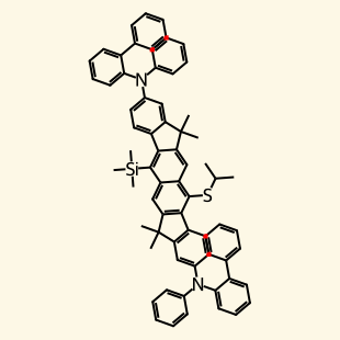 CC(C)Sc1c2c(cc3c([Si](C)(C)C)c4c(cc13)C(C)(C)c1cc(N(c3ccccc3)c3ccccc3-c3ccccc3)ccc1-4)C(C)(C)c1cc(N(c3ccccc3)c3ccccc3-c3ccccc3)ccc1-2